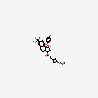 O=C(O)C1CC(CNC(=O)[C@@H]2CC[C@@]3(S(=O)(=O)c4ccc(F)cc4)c4ccc(C(F)(C(F)(F)F)C(F)(F)F)cc4CC[C@@H]23)C1